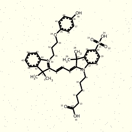 CC1(C)C(/C=C/C=C2/N(CCCCCC(=O)O)c3ccc(S(=O)(=O)O)cc3C2(C)C)=[N+](CCCOc2ccc(O)cc2)c2ccccc21